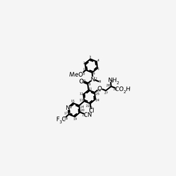 COc1ccccc1N(C)C(=O)c1cc(-c2cnc(C(F)(F)F)cc2C#N)c(Cl)cc1OCC(N)C(=O)O